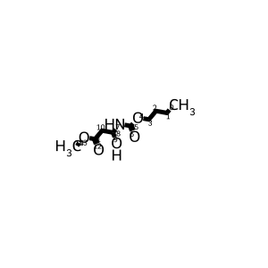 CCCCOC(=O)NC(O)CC(=O)OC